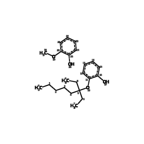 CCCCCC(CC)(CC)Oc1ccccc1O.COc1ccccc1O